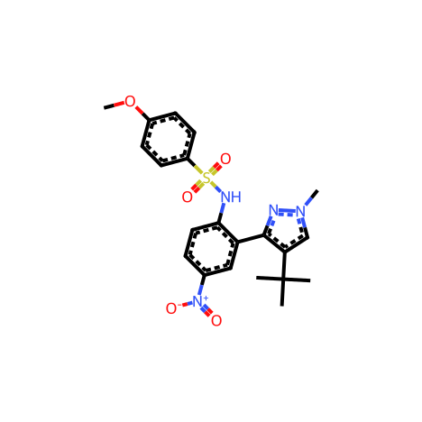 COc1ccc(S(=O)(=O)Nc2ccc([N+](=O)[O-])cc2-c2nn(C)cc2C(C)(C)C)cc1